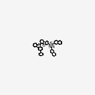 C1=CC2C=CC(c3nc(-c4ccc5ccccc5c4)nc(-c4ccc5c(c4)oc4c(-n6c7ccccc7c7cc(-c8ccccc8)ccc76)cccc45)n3)=CC2C=C1